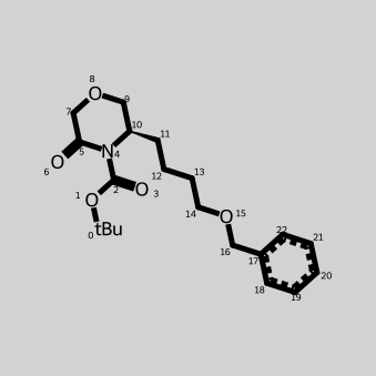 CC(C)(C)OC(=O)N1C(=O)COC[C@H]1CCCCOCc1ccccc1